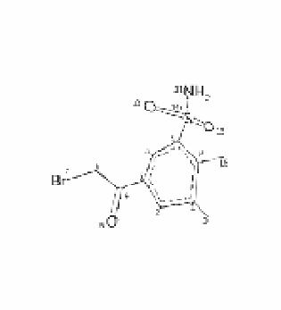 Cc1cc(C(=O)CBr)cc(S(N)(=O)=O)c1C